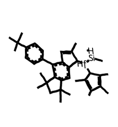 CC1=Cc2c(cc3c(c2-c2ccc(C(C)(C)C)cc2)C(C)(C)CC3(C)C)[CH]1[Hf]([CH]1C(C)=C(C)C(C)=C1C)[SiH](C)C